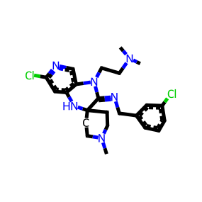 CN(C)CCN1/C(=N/Cc2cccc(Cl)c2)C2(CCN(C)CC2)Nc2cc(Cl)ncc21